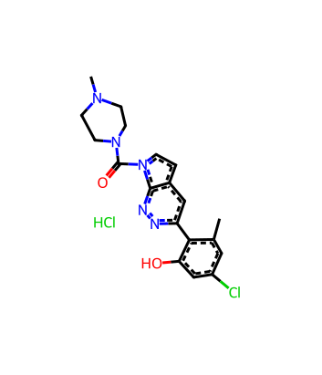 Cc1cc(Cl)cc(O)c1-c1cc2ccn(C(=O)N3CCN(C)CC3)c2nn1.Cl